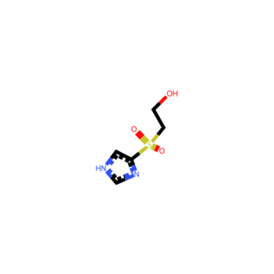 O=S(=O)(CCO)c1c[nH]cn1